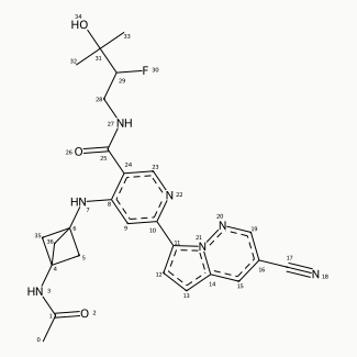 CC(=O)NC12CC(Nc3cc(-c4ccc5cc(C#N)cnn45)ncc3C(=O)NCC(F)C(C)(C)O)(C1)C2